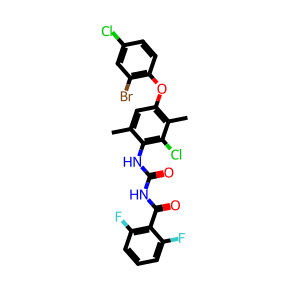 Cc1cc(Oc2ccc(Cl)cc2Br)c(C)c(Cl)c1NC(=O)NC(=O)c1c(F)cccc1F